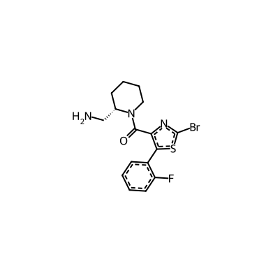 NC[C@@H]1CCCCN1C(=O)c1nc(Br)sc1-c1ccccc1F